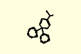 CC(C)C1=CCC(c2ccccc2)(c2ccccc2)C=C1